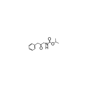 CC(C)OC(=O)NCC(=O)Cc1ccccc1